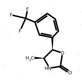 C[C@@H]1NC(=O)O[C@@H]1c1cccc(C(F)(F)F)c1